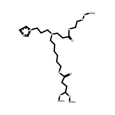 CCCCCCCCCCSSCCOC(=O)CCN(CCCCCCOC(=O)CCC(OCCCCCC)OCCCCCC)CCCn1ccnc1